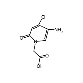 Nc1cn(CC(=O)O)c(=O)cc1Cl